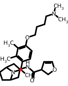 Cc1c(OCCCCN(C)C)ccc(C(C)N2C3CCC2CC(NC(=O)C2C=COC2)C3)c1C